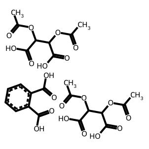 CC(=O)OC(C(=O)O)C(OC(C)=O)C(=O)O.CC(=O)OC(C(=O)O)C(OC(C)=O)C(=O)O.O=C(O)c1ccccc1C(=O)O